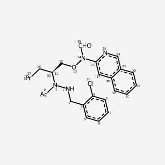 CC(=O)N(NCc1ccccc1Cl)[C@H](CON(C=O)c1cc2ccccc2cn1)CC(C)C